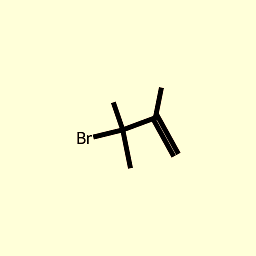 C=C(C)C(C)(C)Br